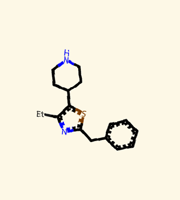 CCc1nc(Cc2ccccc2)sc1C1CCNCC1